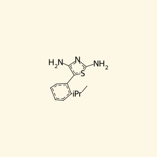 C[C](C)C.Nc1nc(N)c(-c2ccccc2)s1